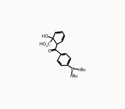 CCCCN(CCCC)c1ccc(C(=O)C2C=CC=CC2(O)C(=O)O)cc1